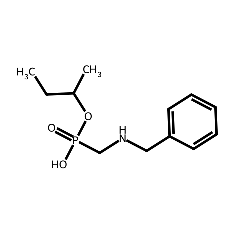 CCC(C)OP(=O)(O)CNCc1ccccc1